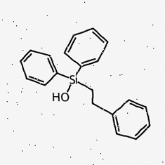 O[Si](CCc1ccccc1)(c1ccccc1)c1ccccc1